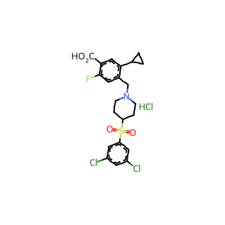 Cl.O=C(O)c1cc(C2CC2)c(CN2CCC(S(=O)(=O)c3cc(Cl)cc(Cl)c3)CC2)cc1F